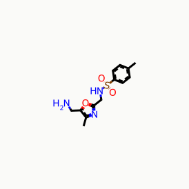 Cc1ccc(S(=O)(=O)NCc2nc(C)c(CN)o2)cc1